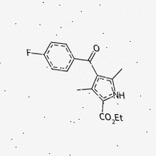 CCOC(=O)c1[nH]c(C)c(C(=O)c2ccc(F)cc2)c1C